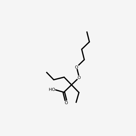 CCCCOOC(CC)(CCC)C(=O)O